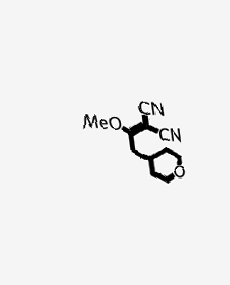 COC(CC1CCOCC1)=C(C#N)C#N